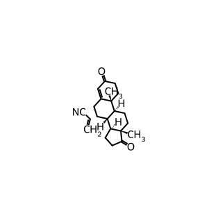 C=CC#N.C[C@]12CCC(=O)C=C1CC[C@@H]1[C@@H]2CC[C@]2(C)C(=O)CC[C@@H]12